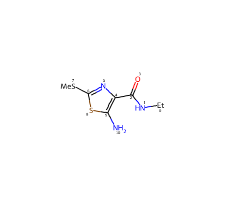 CCNC(=O)c1nc(SC)sc1N